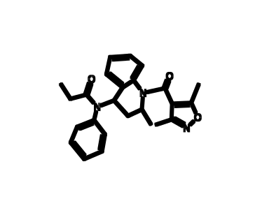 CCC(=O)N(c1ccccc1)C1CC(C)N(C(=O)c2c(C)noc2C)c2ccccc21